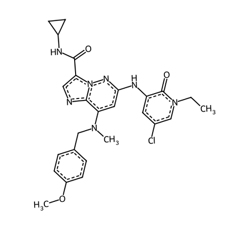 CCn1cc(Cl)cc(Nc2cc(N(C)Cc3ccc(OC)cc3)c3ncc(C(=O)NC4CC4)n3n2)c1=O